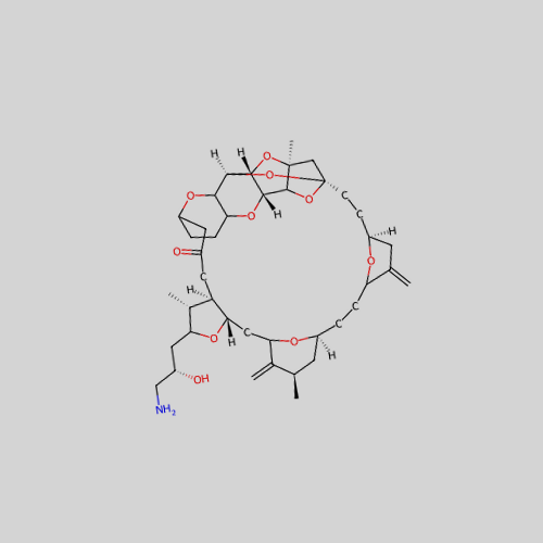 C=C1C[C@@H]2CC[C@@]34C[C@]5(C)O[C@H]6[C@@H](O3)C3OC(CCC3O[C@H]6C5O4)CC(=O)C[C@H]3[C@H](CC4O[C@@H](CCC1O2)C[C@@H](C)C4=C)OC(C[C@H](O)CN)[C@@H]3C